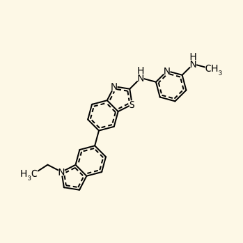 CCn1ccc2ccc(-c3ccc4nc(Nc5cccc(NC)n5)sc4c3)cc21